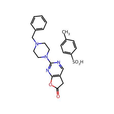 Cc1ccc(S(=O)(=O)O)cc1.O=C1Cc2cnc(N3CCN(Cc4ccccc4)CC3)nc2O1